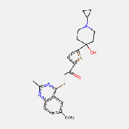 COc1ccc2nc(C)nc(SCC(=O)c3ccc(C4(O)CCN(C5CC5)CC4)s3)c2c1